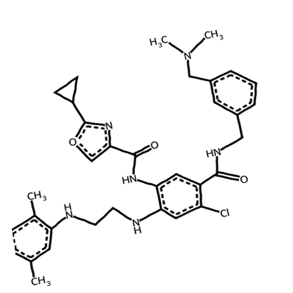 Cc1ccc(C)c(NCCNc2cc(Cl)c(C(=O)NCc3cccc(CN(C)C)c3)cc2NC(=O)c2coc(C3CC3)n2)c1